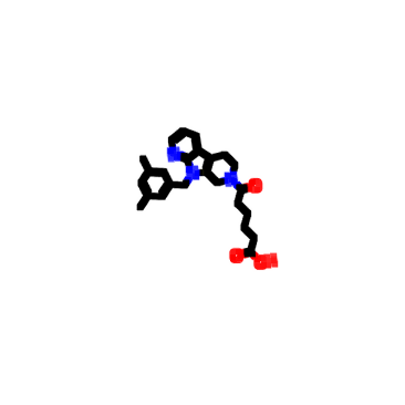 Cc1cc(C)cc(Cn2c3c(c4cccnc42)CCN(C(=O)CCCCC(=O)O)C3)c1